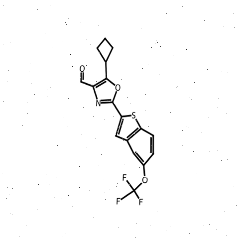 O=Cc1nc(-c2cc3cc(OC(F)(F)F)ccc3s2)oc1C1CCC1